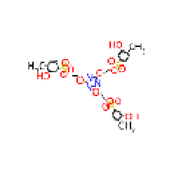 Cc1ccc(S(=O)(=O)OCCOc2nc(OCCOS(=O)(=O)c3ccc(C)c(O)c3)nc(OCCOS(=O)(=O)c3ccc(C)c(O)c3)n2)cc1O